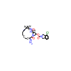 N[C@H]1CCCCC/C=C\[C@@H]2C[C@H]2NC(=O)[C@@H]2C[C@@H](OC(=O)N3Cc4cccc(Cl)c4C3)CN2C1=O